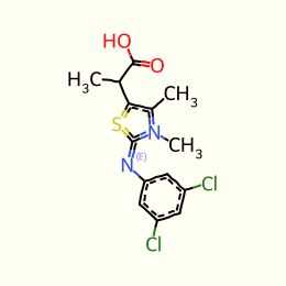 Cc1c(C(C)C(=O)O)s/c(=N/c2cc(Cl)cc(Cl)c2)n1C